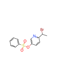 CC(Br)c1ccc(OS(=O)(=O)c2ccccc2)cn1